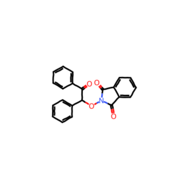 O=C(c1ccccc1)C(ON1C(=O)c2ccccc2C1=O)c1ccccc1